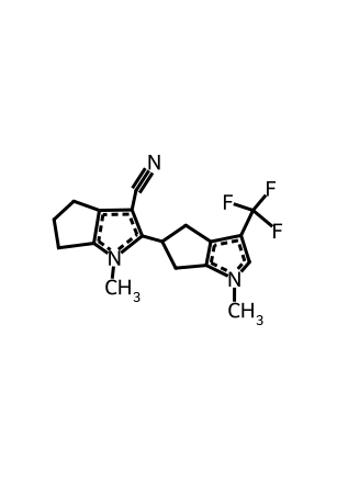 Cn1cc(C(F)(F)F)c2c1CC(c1c(C#N)c3c(n1C)CCC3)C2